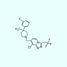 CC1(c2cccc(F)c2)CCN(Cc2ccn3c(CC(F)(F)F)nnc3c2Cl)CC1